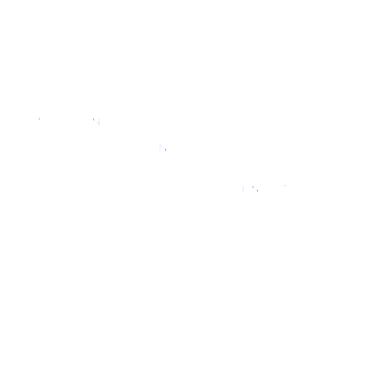 O=C(NCC1CCN(CC(=O)N2CCC(F)(F)CC2)CC1)c1cc(F)cc(Cl)c1